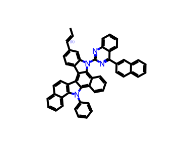 C/C=C/c1ccc2c3c4c5ccc6ccccc6c5n(-c5ccccc5)c4c4ccccc4c3n(-c3nc(-c4ccc5ccccc5c4)c4ccccc4n3)c2c1